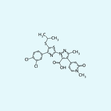 Cc1nn(-c2nc(-c3ccc(Cl)c(Cl)c3)c(SC(C)C)s2)c(C(=O)O)c1-c1ccn(C)c(=O)c1